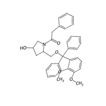 COc1cccc(C(OCC2CC(O)CN2C(=O)Cc2ccccc2)(c2ccccc2)c2ccccc2)c1OC